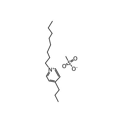 CCCCCCCC[n+]1ccc(CCC)cc1.CS(=O)(=O)[O-]